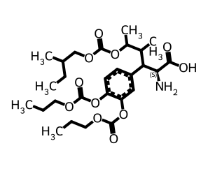 CCCOC(=O)Oc1ccc(C(C(C)C(C)OC(=O)OCC(C)CC)[C@H](N)C(=O)O)cc1OC(=O)OCCC